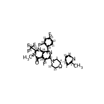 Cc1cc([C@H]2CN(c3nc(-c4ccc(F)cc4F)c4nc(C(F)(F)F)n(C)c(=O)c4c3F)CCO2)ccn1